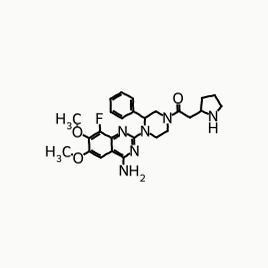 COc1cc2c(N)nc(N3CCN(C(=O)CC4CCCN4)CC3c3ccccc3)nc2c(F)c1OC